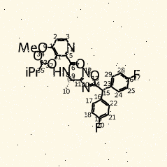 COc1ccnc(C(=O)N[C@@H](C)c2noc(C(c3ccc(F)cc3)c3ccc(F)cc3)n2)c1OC(=O)C(C)C